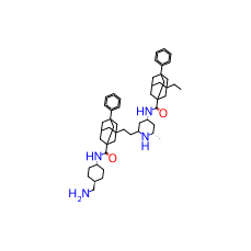 CCC12CC3CC(C(=O)N[C@H]4CC(CCC56CC7CC(C(=O)N[C@H]8CC[C@H](CN)CC8)(C5)CC(c5ccccc5)(C7)C6)N[C@@H](C)C4)(C1)CC(c1ccccc1)(C3)C2